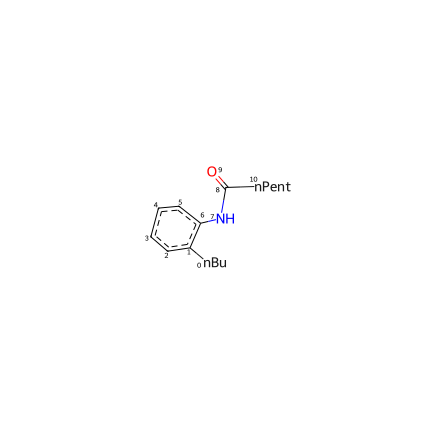 [CH2]CCCc1ccccc1NC(=O)CCCCC